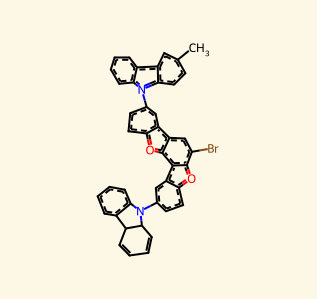 Cc1ccc2c(c1)c1ccccc1n2-c1ccc2oc3c(cc(Br)c4oc5ccc(N6c7ccccc7C7C=CC=CC76)cc5c43)c2c1